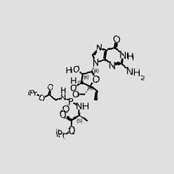 C=C[C@]1(COP(=O)(NCC(=O)OC(C)C)N[C@@H](C)C(=O)OC(C)C)O[C@@H](n2cnc3c(=O)[nH]c(N)nc32)[C@H](O)[C@@H]1O